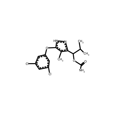 Cc1c(C(OC(N)=O)C(C)C)n[nH]c1Oc1cc(Cl)cc(Cl)c1